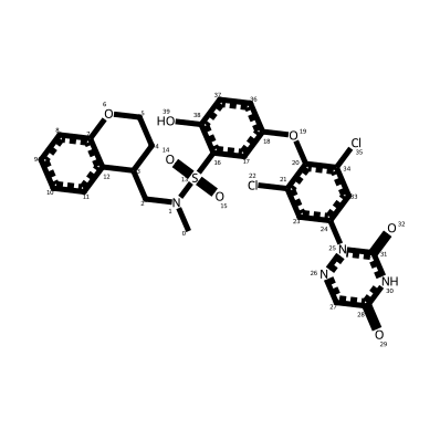 CN(CC1CCOc2ccccc21)S(=O)(=O)c1cc(Oc2c(Cl)cc(-n3ncc(=O)[nH]c3=O)cc2Cl)ccc1O